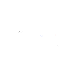 CSCCNC(=O)[C@@H](O)SC